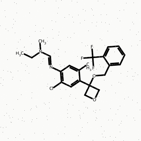 CCN(C)C=Nc1cc(C)c(C2(OCc3ccccc3C(F)(F)F)COC2)cc1Cl